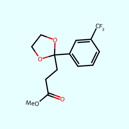 COC(=O)CCC1(c2cccc(C(F)(F)F)c2)OCCO1